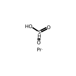 O=[SH](=O)O.[Pr]